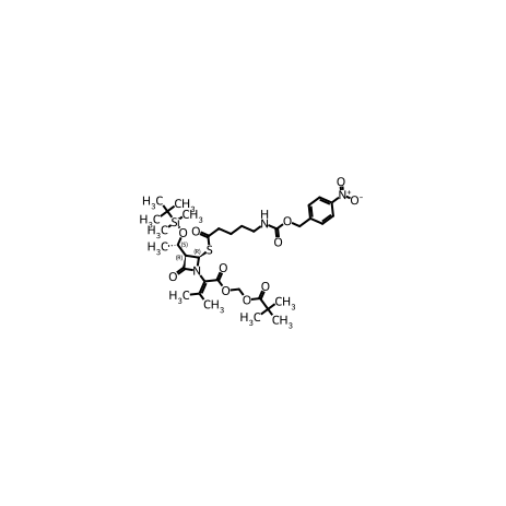 CC(C)=C(C(=O)OCOC(=O)C(C)(C)C)N1C(=O)[C@@H]([C@H](C)O[Si](C)(C)C(C)(C)C)[C@H]1SC(=O)CCCCNC(=O)OCc1ccc([N+](=O)[O-])cc1